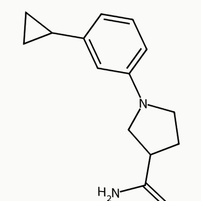 NC(=O)C1CCN(c2cccc(C3CC3)c2)C1